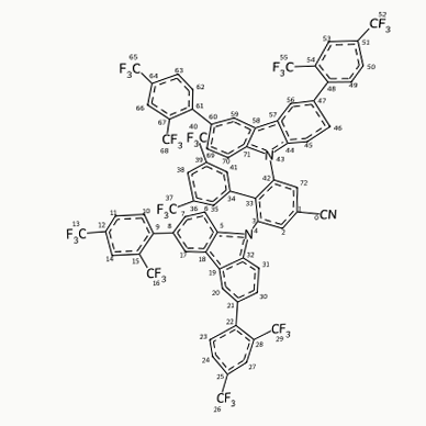 N#Cc1cc(-n2c3ccc(-c4ccc(C(F)(F)F)cc4C(F)(F)F)cc3c3cc(-c4ccc(C(F)(F)F)cc4C(F)(F)F)ccc32)c(-c2cc(C(F)(F)F)cc(C(F)(F)F)c2)c(-n2c3ccc(-c4ccc(C(F)(F)F)cc4C(F)(F)F)cc3c3cc(-c4ccc(C(F)(F)F)cc4C(F)(F)F)ccc32)c1